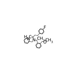 C=C(CCc1ccc(F)cc1)N(Cc1ccccn1)C(C)c1ccccc1COC